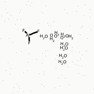 O.O.O.O.O.O.O.O.O.[F][Al]([F])[F]